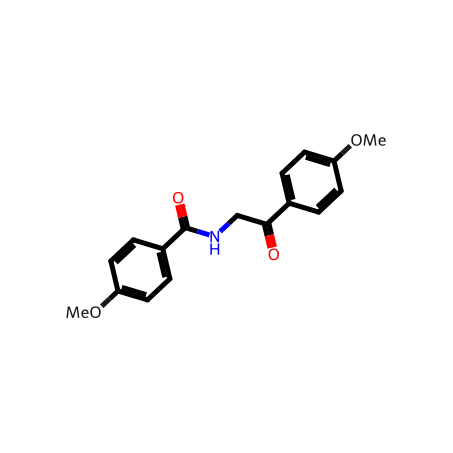 COc1ccc(C(=O)CNC(=O)c2ccc(OC)cc2)cc1